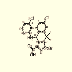 CC1(C)c2cc(Cl)ccc2C(Nc2cc(Cl)ccn2)c2c(C(=O)O)nc(Br)n21